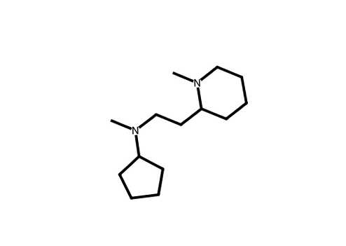 CN1CCCCC1CCN(C)C1CCCC1